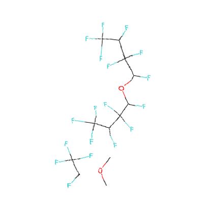 COC.FC(OC(F)C(F)(F)C(F)C(F)(F)F)C(F)(F)C(F)C(F)(F)F.FCC(F)(F)F